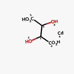 O=C(O)C(O)C(O)C(=O)O.[Cd]